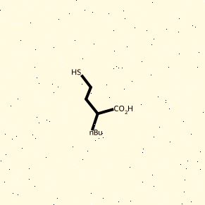 CCCCC(CCS)C(=O)O